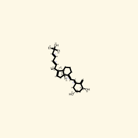 C=C1/C(=C/C=C2\CCC[C@]3(C)C([C@@H](C)/C=C/C=C/C(O)(CC)CC)=CC[C@@H]23)C[C@@H](O)C[C@@H]1O